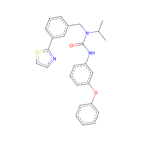 CC(C)N(Cc1cccc(-c2nccs2)c1)C(=O)Nc1cccc(Oc2ccccc2)c1